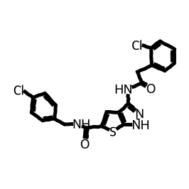 O=C(Cc1ccccc1Cl)Nc1n[nH]c2sc(C(=O)NCc3ccc(Cl)cc3)cc12